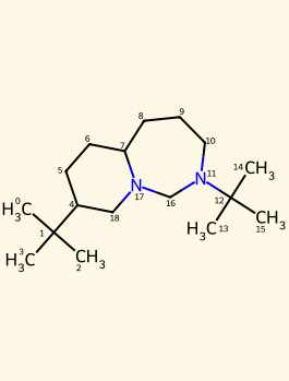 CC(C)(C)C1CCC2CCCN(C(C)(C)C)CN2C1